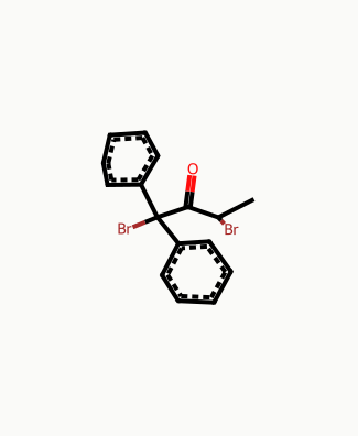 CC(Br)C(=O)C(Br)(c1ccccc1)c1ccccc1